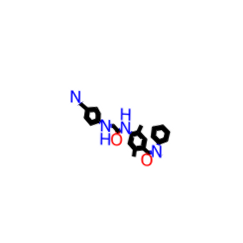 Cc1cc(C(=O)N(C)c2ccccc2)c(C)cc1NC(=O)CNc1ccc(C#N)cc1